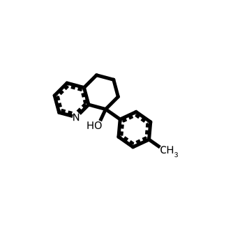 Cc1ccc(C2(O)CCCc3cccnc32)cc1